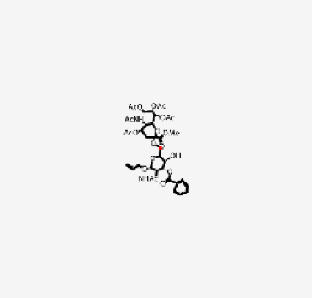 C=CCO[C@H]1OC(CO[C@]2(C(=O)OC)C[C@@H](OC(C)=O)[C@@H](NC(C)=O)C([C@H](OC(C)=O)[C@@H](COC(C)=O)OC(C)=O)O2)[C@@H](O)[C@H](OC(=O)c2ccccc2)C1NC(C)=O